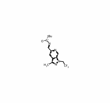 Cc1nn(CC(F)(F)F)c2cnc(/C=N/[S@+]([O-])C(C)(C)C)cc12